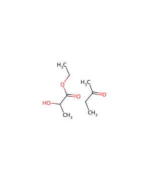 CCC(C)=O.CCOC(=O)C(C)O